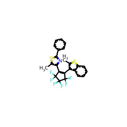 Cc1sc(-c2ccccc2)nc1C1=C(c2c(C)sc3ccccc23)C(F)(F)C(F)(F)C1(F)F